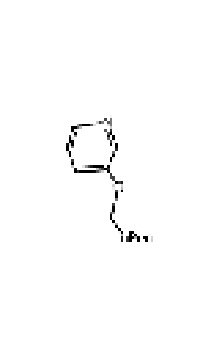 CCCCCCOc1c[c]cnc1